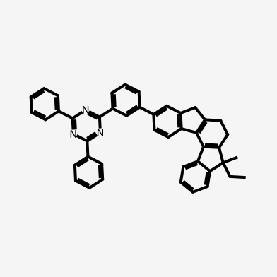 CCC1(C)C2=C(C3=C(CC2)Cc2cc(-c4cccc(-c5nc(-c6ccccc6)nc(-c6ccccc6)n5)c4)ccc23)c2ccccc21